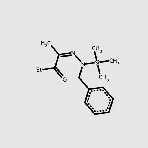 CCC(=O)C(C)=NN(Cc1ccccc1)[Si](C)(C)C